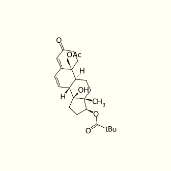 CC(=O)OC[C@]12CCC(=O)C=C1C=C[C@@H]1[C@@H]2CC[C@]2(C)[C@@H](OC(=O)C(C)(C)C)CC[C@]12O